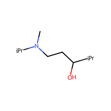 CC(C)C(O)CCN(C)C(C)C